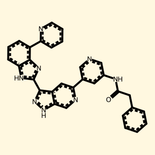 O=C(Cc1ccccc1)Nc1cncc(-c2cc3c(-c4nc5c(-c6ccccn6)cccc5[nH]4)n[nH]c3cn2)c1